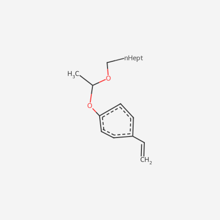 C=Cc1ccc(OC(C)OCCCCCCCC)cc1